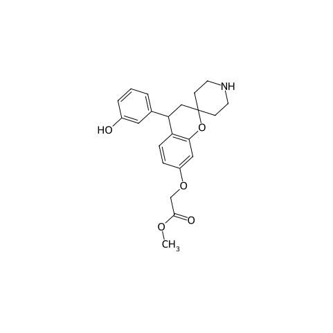 COC(=O)COc1ccc2c(c1)OC1(CCNCC1)CC2c1cccc(O)c1